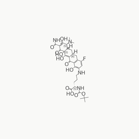 CN(C)[C@@H]1C(O)=C(C(N)=O)C(=O)[C@@]2(O)C(O)=C3C(=O)c4c(O)c(NCCC[C@H](NC(=O)OC(C)(C)C)C(=O)O)cc(F)c4C[C@H]3C[C@@H]12